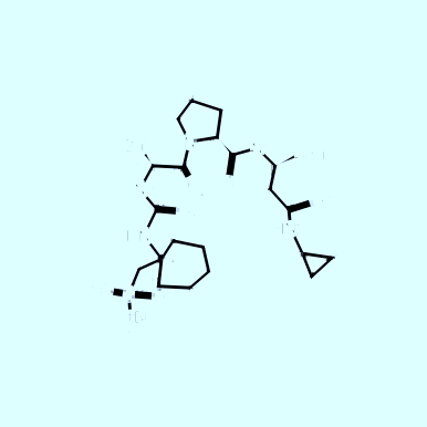 CCCC[C@@H](CC(=O)NC1CC1)NC(=O)[C@@H]1CCCN1C(=O)[C@@H](NC(=O)NC1(CS(=O)(=O)C(C)(C)C)CCCCC1)C(C)(C)C